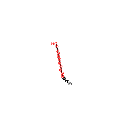 CC(C)CC(C)CC(C)c1ccc(OCCOCCOCCOCCOCCOCCOCCOCCOCCOCCO)cc1